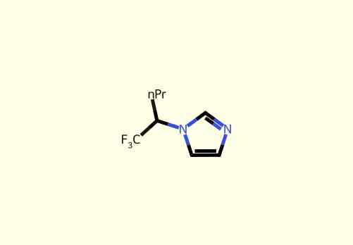 CCCC(n1ccnc1)C(F)(F)F